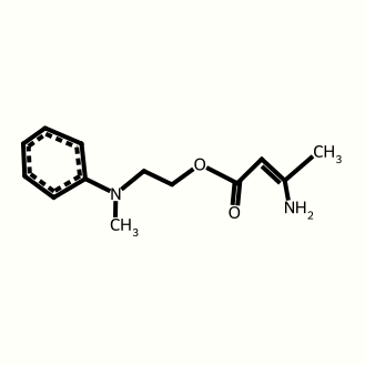 C/C(N)=C/C(=O)OCCN(C)c1ccccc1